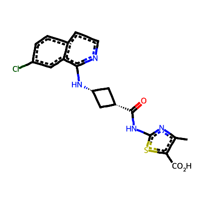 Cc1nc(NC(=O)[C@H]2C[C@@H](Nc3nccc4ccc(Cl)cc34)C2)sc1C(=O)O